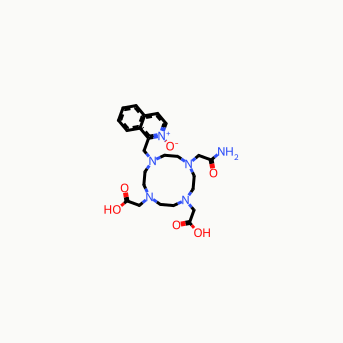 NC(=O)CN1CCN(CC(=O)O)CCN(CC(=O)O)CCN(Cc2c3ccccc3cc[n+]2[O-])CC1